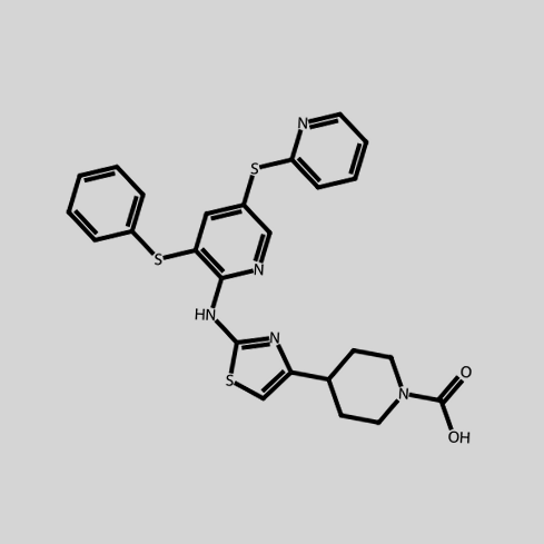 O=C(O)N1CCC(c2csc(Nc3ncc(Sc4ccccn4)cc3Sc3ccccc3)n2)CC1